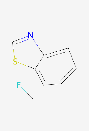 CF.c1ccc2scnc2c1